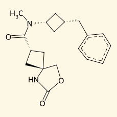 CN(C(=O)[C@H]1C[C@]2(COC(=O)N2)C1)[C@H]1C[C@@H](Cc2ccccc2)C1